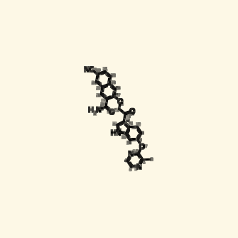 Cc1nccnc1Oc1ccc2c(C(=O)COc3cc4ccc(C#N)cc4cc3C(N)=O)c[nH]c2c1